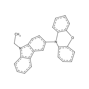 CCn1c2ccccc2c2cc(N3c4ccccc4Oc4ccccc43)ccc21